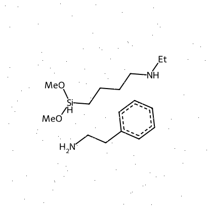 CCNCCCC[SiH](OC)OC.NCCc1ccccc1